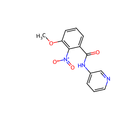 COc1cccc(C(=O)Nc2cccnc2)c1[N+](=O)[O-]